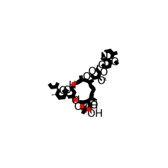 CCC(C)[C@H]1O[C@]2(C=C[C@@H]1C)C[C@@H]1C[C@@H](C/C=C(\C)[C@@H](OC3C[C@H](OC)[C@@H](OC4C[C@H](OC)[C@]5(CC(C)=CCN5I)[C@H](C)O4)[C@H](C)O3)C(C)/C=C/C=C3\CO[C@@H]4[C@H](O)C(C)=C[C@@H](C(=O)O1)[C@]34O)O2